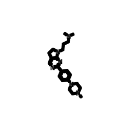 CN(C)CCCN1CCc2cnc(-c3ccc(N4CCN(C)CC4)cc3)nc21